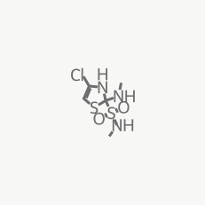 CNC1(S(=O)(=O)NC)NC(Cl)=CS1